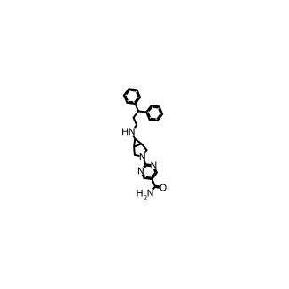 NC(=O)c1cnc(N2CC3C(C2)C3NCCC(c2ccccc2)c2ccccc2)nc1